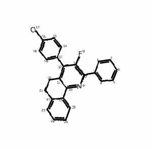 Fc1c(-c2ccccc2)nc2c(c1-c1ccc(Cl)cc1)CCc1ccccc1-2